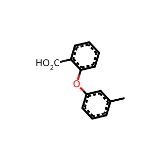 Cc1cccc(Oc2ccccc2C(=O)O)c1